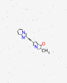 CC1Cn2cc(C#Cc3cn4ccccc4n3)cc2C1=O